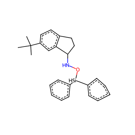 CC(C)(C)c1ccc2c(c1)C(NO[SiH](c1ccccc1)c1ccccc1)CC2